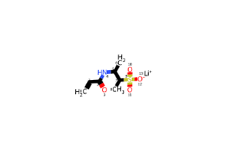 C=CC(=O)NC(C)C(C)S(=O)(=O)[O-].[Li+]